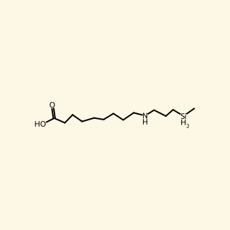 C[SiH2]CCCNCCCCCCCCC(=O)O